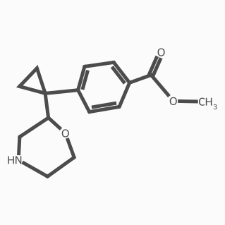 COC(=O)c1ccc(C2(C3CNCCO3)CC2)cc1